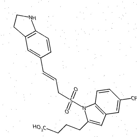 O=C(O)CCCc1cc2cc(C(F)(F)F)ccc2n1S(=O)(=O)CC=Cc1ccc2c(c1)CCN2